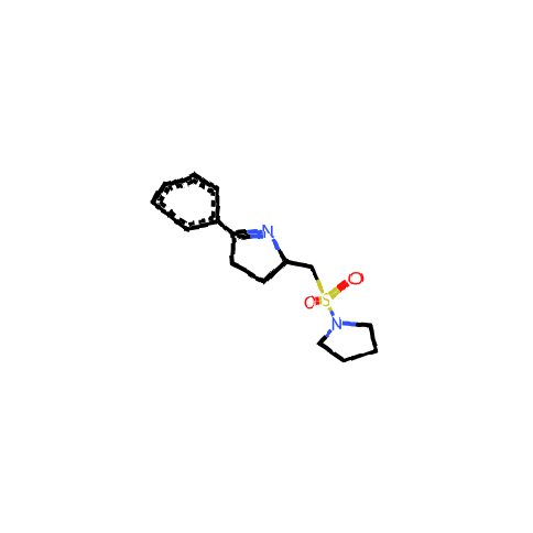 O=S(=O)(CC1CCC(c2ccccc2)=N1)N1CCCC1